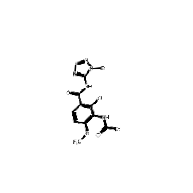 CCC(=O)Nc1c(OC(F)(F)F)ccc(C(=O)Nc2nnnn2CC)c1Cl